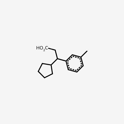 Cc1cccc(C(CC(=O)O)C2CCCC2)c1